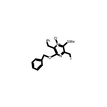 CSc1c(CI)nc(OCc2ccccc2)c(CC(C)C)[n+]1[O-]